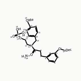 CCCCCCCCCCOc1cccc(CCC(=O)N(CCOP(=O)(O)O)Cc2ccc(OC)nc2)c1.N